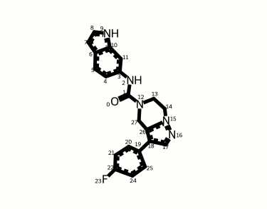 O=C(Nc1ccc2cc[nH]c2c1)N1CCn2ncc(-c3ccc(F)cc3)c2C1